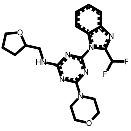 FC(F)c1nc2ccccc2n1-c1nc(NCC2CCCO2)nc(N2CCOCC2)n1